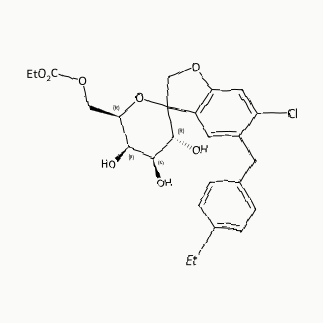 CCOC(=O)OC[C@H]1OC2(COc3cc(Cl)c(Cc4ccc(CC)cc4)cc32)[C@H](O)[C@@H](O)[C@H]1O